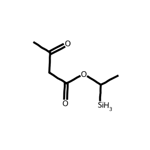 CC(=O)CC(=O)OC(C)[SiH3]